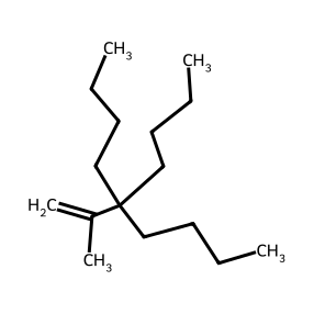 C=C(C)C(CCCC)(CCCC)CCCC